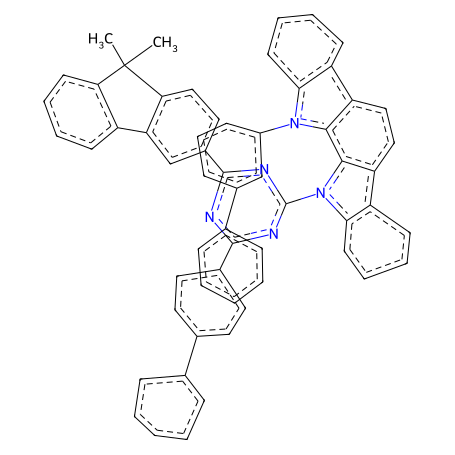 CC1(C)c2ccccc2-c2cc(-c3nc(-c4ccc(-c5ccccc5)cc4)nc(-n4c5ccccc5c5ccc6c7ccccc7n(-c7cccc(-c8ccccc8)c7)c6c54)n3)ccc21